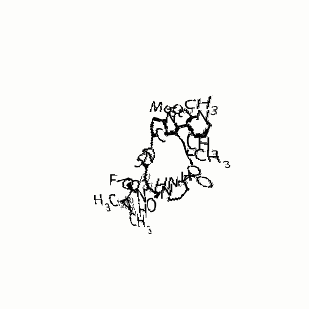 CCn1c(-c2cccnc2[C@H](C)OC)c2c3cc(ccc31)C1CSC(=N1)[C@@H](OCCF)[C@H](NC(=O)[C@H]1[C@H](C)[C@@H]1C)C(=O)N1CCC[C@H](N1)C(=O)OCC(C)(C)C2